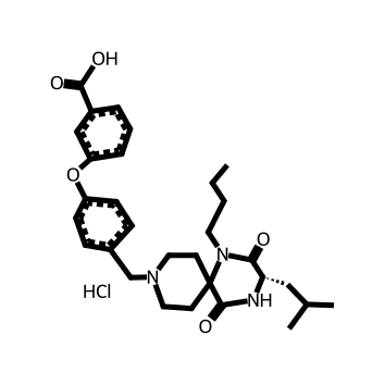 CCCCN1C(=O)[C@H](CC(C)C)NC(=O)C12CCN(Cc1ccc(Oc3cccc(C(=O)O)c3)cc1)CC2.Cl